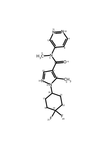 Cc1c(C(=O)N(C)c2ccnnc2)cnn1C1CCC(F)(F)CC1